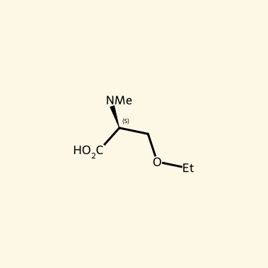 CCOC[C@H](NC)C(=O)O